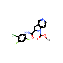 CC(C)(C)OC(=O)N1c2ccncc2CC1C(=O)Nc1cc(Cl)c(F)cc1F